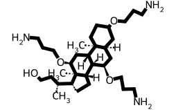 C[C@H](CCO)[C@H]1CC[C@H]2[C@@H]3[C@H](OCCCN)C[C@@H]4CC(OCCCN)CC[C@]4(C)[C@H]3C[C@H](OCCCN)[C@]12C